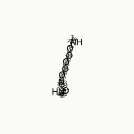 CC(C)(C)NCCOCCOCCOCCOCCOCCN1CCC(C(=O)NC(C)(C)C)CC1